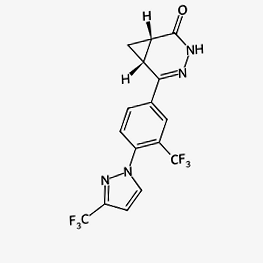 O=C1NN=C(c2ccc(-n3ccc(C(F)(F)F)n3)c(C(F)(F)F)c2)[C@@H]2C[C@H]12